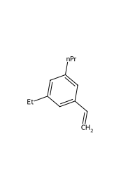 C=Cc1cc(CC)cc(CCC)c1